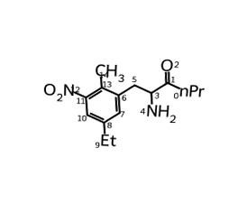 CCCC(=O)C(N)Cc1cc(CC)cc([N+](=O)[O-])c1C